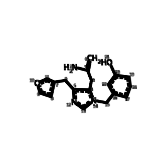 C=C(N)Cc1c(Cc2ccoc2)ncn1Cc1cccc(O)c1